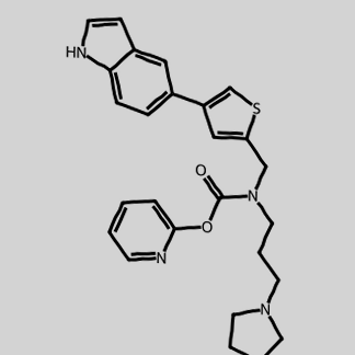 O=C(Oc1ccccn1)N(CCCN1CCCC1)Cc1cc(-c2ccc3[nH]ccc3c2)cs1